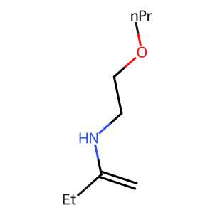 C=C(CC)NCCOCCC